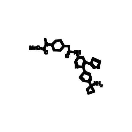 COC(=O)N(C)C1CCC(CC(=O)Nc2cnc(-c3ccc(C4(N)CCC4)cc3)c(-c3ccsc3)c2)CC1